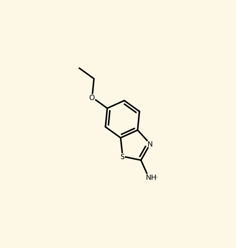 CCOc1ccc2nc([NH])sc2c1